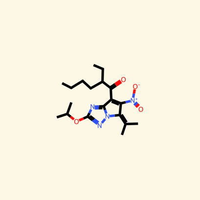 CCCCC(CC)C(=O)c1c([N+](=O)[O-])c(=C(C)C)n2nc(OC(C)C)nc12